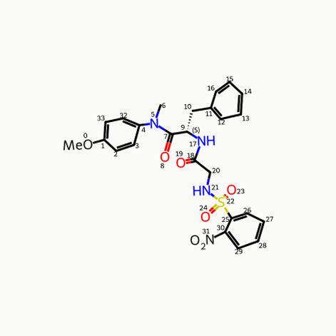 COc1ccc(N(C)C(=O)[C@H](Cc2ccccc2)NC(=O)CNS(=O)(=O)c2ccccc2[N+](=O)[O-])cc1